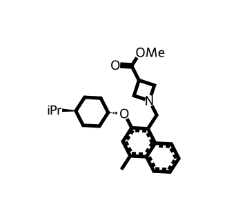 COC(=O)C1CN(Cc2c(O[C@H]3CC[C@H](C(C)C)CC3)cc(C)c3ccccc23)C1